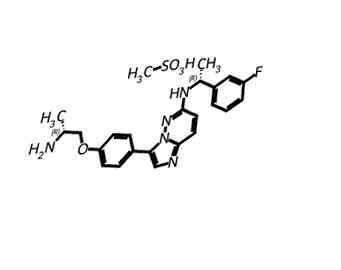 CS(=O)(=O)O.C[C@@H](N)COc1ccc(-c2cnc3ccc(N[C@H](C)c4cccc(F)c4)nn23)cc1